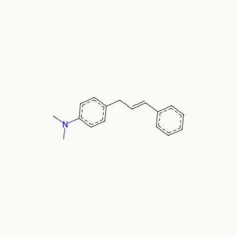 CN(C)c1ccc(CC=Cc2ccccc2)cc1